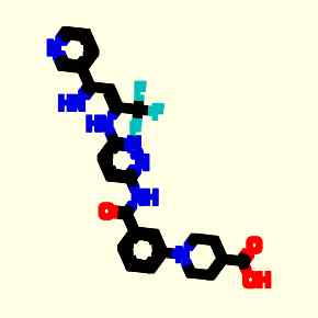 N=C(/C=C(\Nc1ccc(NC(=O)c2cccc(N3CCC(C(=O)O)CC3)c2)nn1)C(F)(F)F)c1cccnc1